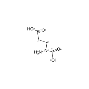 NN(CCC(=O)O)C(=O)O